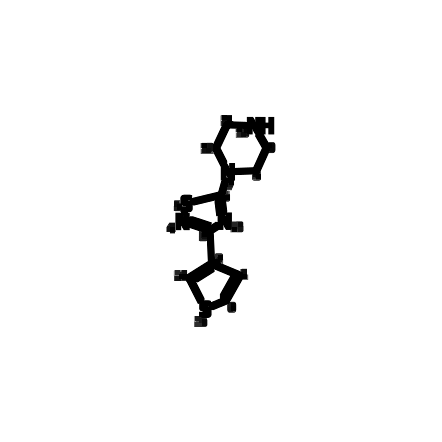 c1cc(-c2nsc(N3CCNCC3)n2)cs1